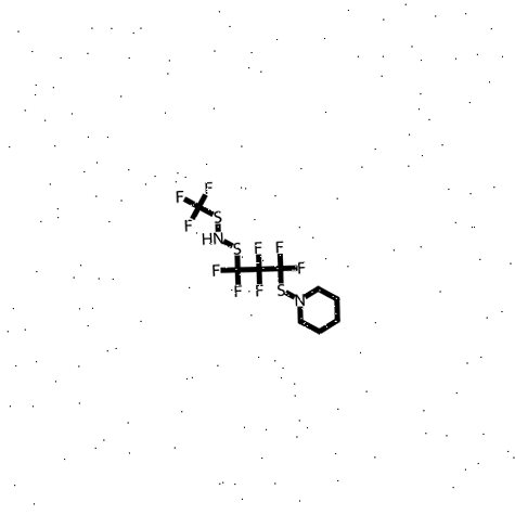 FC(F)(F)SNSC(F)(F)C(F)(F)C(F)(F)SN1CCCCC1